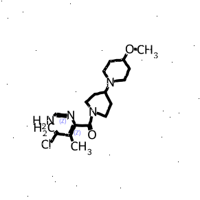 C=C(Cl)/C(C)=C(\N=C/N)C(=O)N1CCC(N2CCC(OC)CC2)CC1